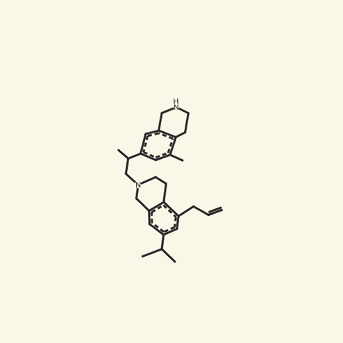 C=CCc1cc(C(C)C)cc2c1CCN(CC(C)c1cc(C)c3c(c1)CNCC3)C2